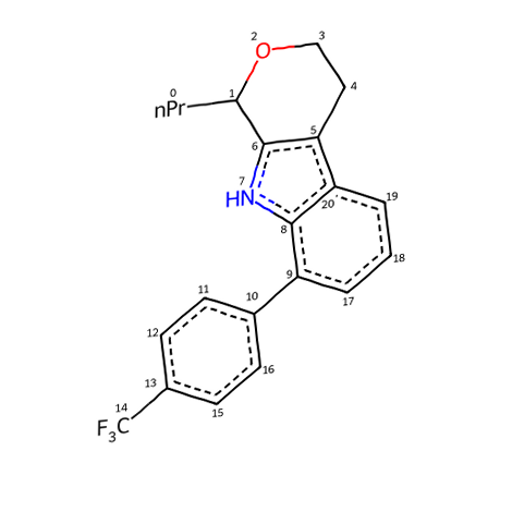 CCCC1OCCc2c1[nH]c1c(-c3ccc(C(F)(F)F)cc3)cccc21